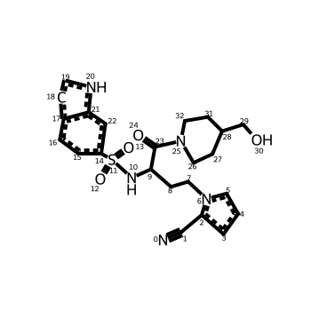 N#Cc1cccn1CCC(NS(=O)(=O)c1ccc2cc[nH]c2c1)C(=O)N1CCC(CO)CC1